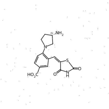 N[C@H]1CCN(c2ccc(C(=O)O)cc2C=C2SC(=O)NC2=O)C1